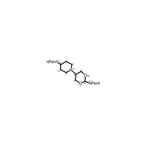 CCCCCC1CCN(C2COC(CCCCC)OC2)CC1